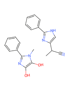 CC(C#N)c1c[nH]c(-c2ccccc2)n1.Cn1c(-c2ccccc2)nc(O)c1O